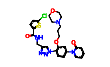 O=C(NCc1cn(-c2ccc(-n3ccccc3=O)cc2OCCCN2CCOCC2)nn1)c1ccc(Cl)s1